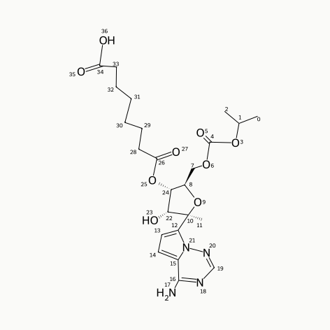 CC(C)OC(=O)OC[C@H]1O[C@@](C)(c2ccc3c(N)ncnn23)[C@H](O)[C@@H]1OC(=O)CCCCCCC(=O)O